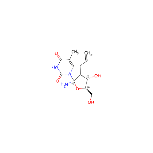 C=CCC1[C@H](O)[C@@H](CO)O[C@@]1(N)n1cc(C)c(=O)[nH]c1=O